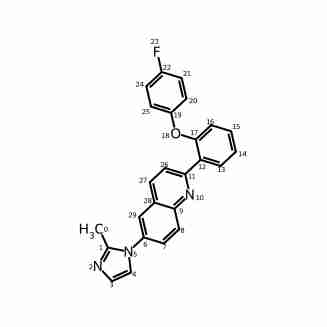 Cc1nccn1-c1ccc2nc(-c3ccccc3Oc3ccc(F)cc3)ccc2c1